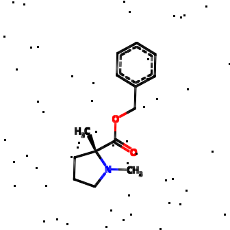 CN1CCC[C@]1(C)C(=O)OCc1ccccc1